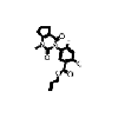 C=CCOC(=O)c1cc(-n2c(=O)c3c(n(C)c2=O)CCC3)c(F)cc1Cl